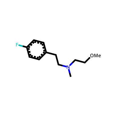 COCCN(C)CCc1ccc(F)cc1